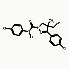 CC(C)CC1(C)CN(C(=O)N(C)c2ccc(Cl)cc2)N=C1c1ccc(Cl)cc1